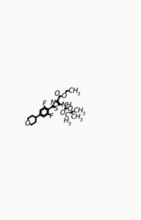 CCOC(=O)c1nc(-c2c(F)cc(C3CCOCC3)cc2F)sc1NC(=O)OC(C)(C)C